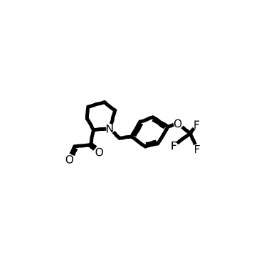 O=CC(=O)C1CCCCN1Cc1ccc(OC(F)(F)F)cc1